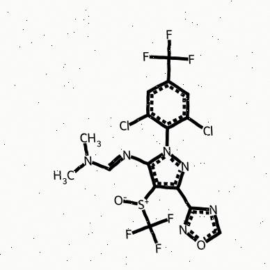 CN(C)C=Nc1c([S+]([O-])C(F)(F)F)c(-c2ncon2)nn1-c1c(Cl)cc(C(F)(F)F)cc1Cl